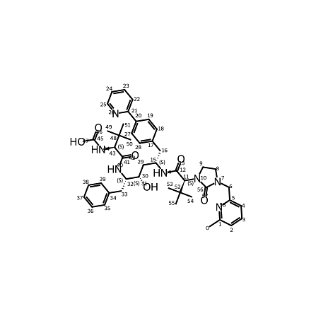 Cc1cccc(CN2CCN([C@H](C(=O)N[C@@H](Cc3ccc(-c4ccccn4)cc3)C[C@H](O)[C@H](Cc3ccccc3)NC(=O)[C@@H](NC(=O)O)C(C)(C)C)C(C)(C)C)C2=O)n1